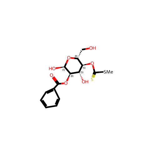 CSC(=S)O[C@H]1[C@H](O)[C@@H](OC(=O)c2ccccc2)[C@@H](O)O[C@@H]1CO